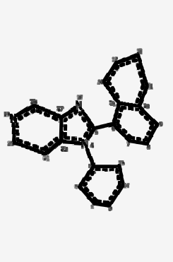 c1ccc(-n2c(-c3cccc4ccccc34)nc3cnccc32)cc1